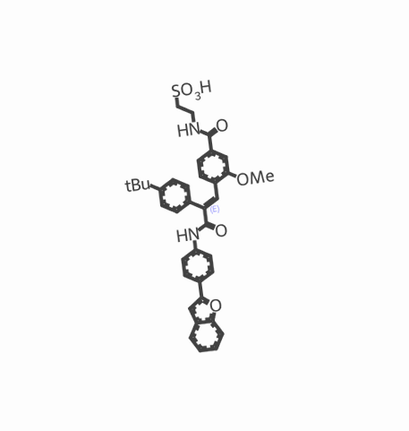 COc1cc(C(=O)NCCS(=O)(=O)O)ccc1/C=C(/C(=O)Nc1ccc(-c2cc3ccccc3o2)cc1)c1ccc(C(C)(C)C)cc1